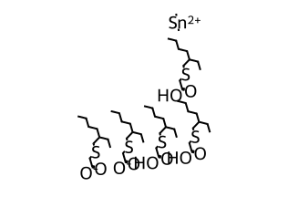 CCCCC(CC)CSCC(=O)O.CCCCC(CC)CSCC(=O)O.CCCCC(CC)CSCC(=O)O.CCCCC(CC)CSCC(=O)[O-].CCCCC(CC)CSCC(=O)[O-].[CH3][Sn+2][CH3]